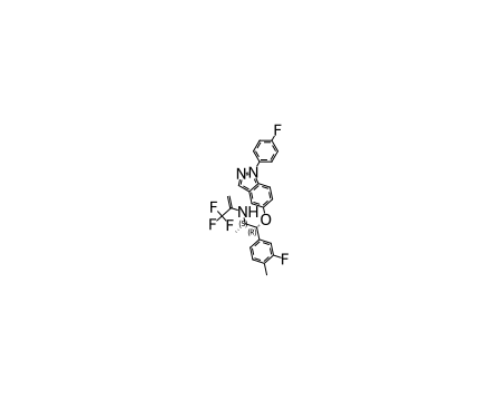 C=C(N[C@@H](C)[C@H](Oc1ccc2c(cnn2-c2ccc(F)cc2)c1)c1ccc(C)c(F)c1)C(F)(F)F